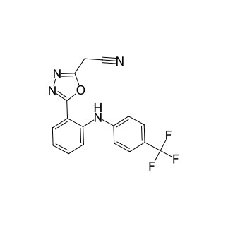 N#CCc1nnc(-c2ccccc2Nc2ccc(C(F)(F)F)cc2)o1